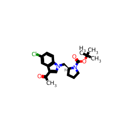 CC(=O)c1cn(C[C@@H]2CCCN2C(=O)OC(C)(C)C)c2ccc(Cl)cc12